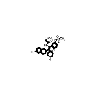 CSCC(=O)N[C@H]1c2cc(NS(C)(=O)=O)ccc2OC2(CCNCC2)C1C1CCc2cc(C#N)ccc2C1